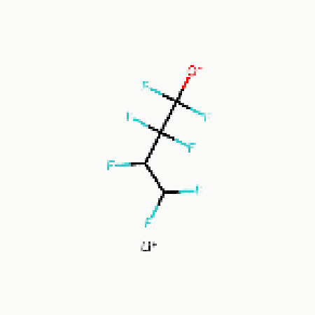 [Li+].[O-]C(F)(F)C(F)(F)C(F)C(F)F